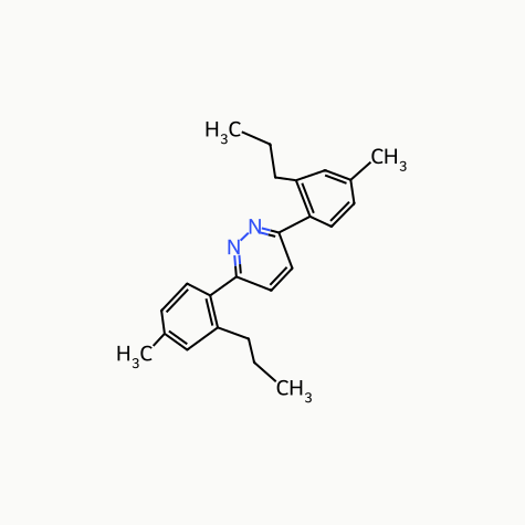 CCCc1cc(C)ccc1-c1ccc(-c2ccc(C)cc2CCC)nn1